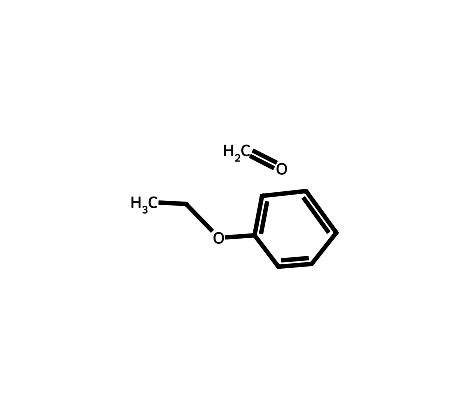 C=O.CCOc1ccccc1